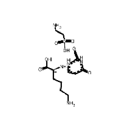 NCCCC[C@H](N)C(=O)O.NCCS(=O)(=O)O.O=c1cc[nH]c(=O)[nH]1